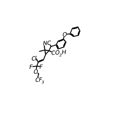 CC1(C)C(C=C(Cl)C(F)(F)OCC(F)(F)F)C1(C(=O)O)C(C#N)c1cccc(Oc2ccccc2)c1